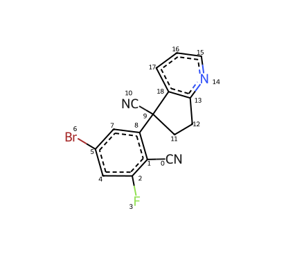 N#Cc1c(F)cc(Br)cc1C1(C#N)CCc2ncccc21